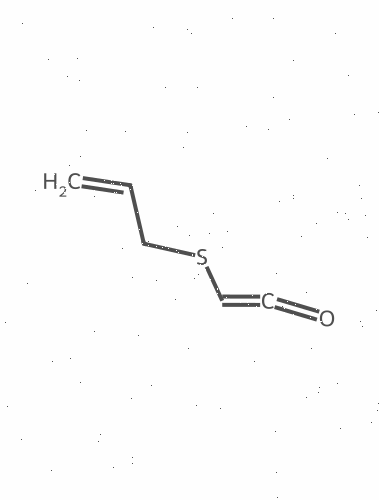 C=CCSC=C=O